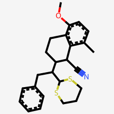 COc1ccc(C)c2c1CCC(C(Cc1ccccc1)C1SCCCS1)C2C#N